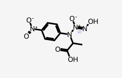 CC(C(=O)O)N(c1ccc([N+](=O)[O-])cc1)/[N+]([O-])=N/O